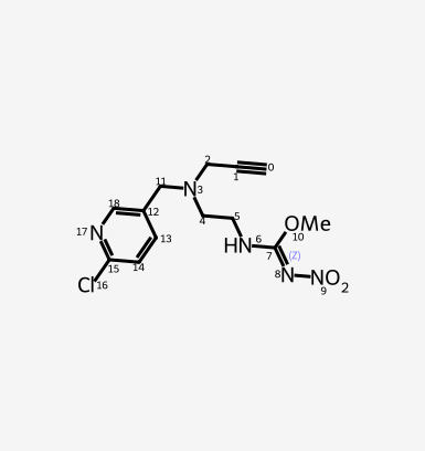 C#CCN(CCN/C(=N/[N+](=O)[O-])OC)Cc1ccc(Cl)nc1